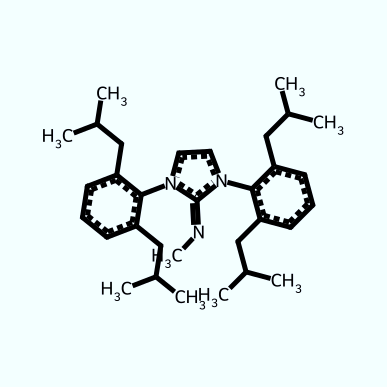 CN=c1n(-c2c(CC(C)C)cccc2CC(C)C)ccn1-c1c(CC(C)C)cccc1CC(C)C